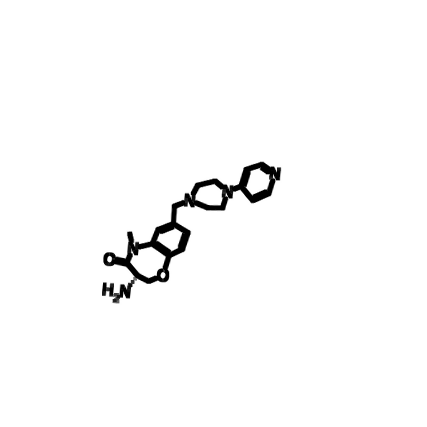 CN1C(=O)[C@@H](N)COc2ccc(CN3CCN(c4ccncc4)CC3)cc21